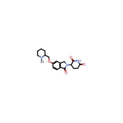 CCN1CCCCC1COc1ccc2c(c1)CN(C1CCC(=O)NC1=O)C2=O